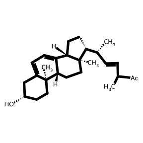 CC(=O)C(C)C=C[C@@H](C)[C@H]1CC[C@H]2C3=CC=C4C[C@@H](O)CC[C@]4(C)[C@H]3CC[C@]12C